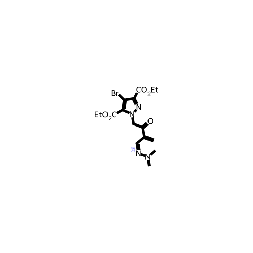 C=C(/C=N\N(C)C)C(=O)Cn1nc(C(=O)OCC)c(Br)c1C(=O)OCC